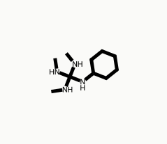 CNC(NC)(NC)NC1CCCCC1